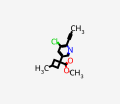 CC#Cc1ncc(C2(C(=O)OC)CC(C)C2)cc1Cl